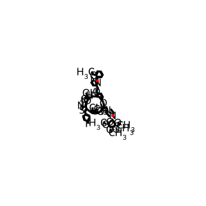 COc1ccccc1-c1nccc(COc2ccc3cc2C[C@H](C(=O)O)Oc2ncnc4sc(-c5ccc(F)cc5)c(c24)-c2ccc(c(Cl)c2C)O[C@H](CN2CCN(C[C@H]4O[C@H](OC)[C@@H](OC)[C@@H](OC)[C@@H]4OC)CC2)CO3)n1